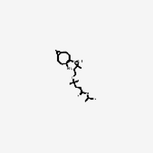 CC(C)C(C)NC(=O)CCC(C)(C)OCCC1(C)NN1/C1=C(\N)CCC2CC2CC1